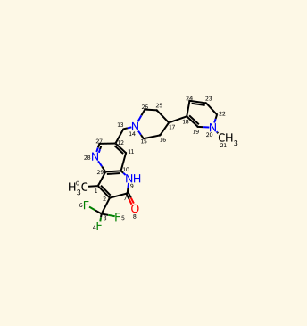 Cc1c(C(F)(F)F)c(=O)[nH]c2cc(CN3CCC(C4=CN(C)CC=C4)CC3)cnc12